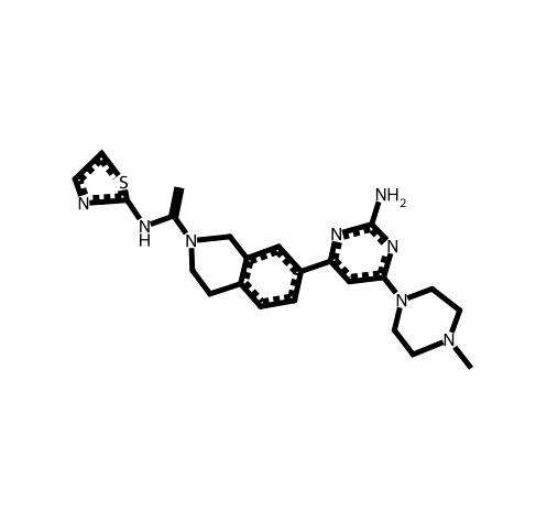 C=C(Nc1nccs1)N1CCc2ccc(-c3cc(N4CCN(C)CC4)nc(N)n3)cc2C1